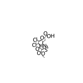 CCOC(=O)C(C(=O)c1cc2c(c(Cl)c1Cl)OC(C(=O)O)C2)=C1NC=CS1